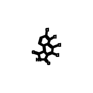 O=C1NC(=O)c2c1c(Cl)c(Cl)c1c(Cl)c(Cl)ccc21